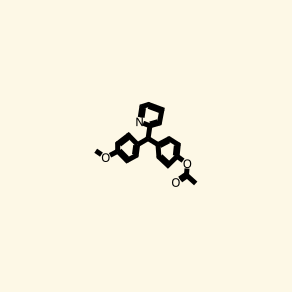 COc1ccc(C(c2ccc(OC(C)=O)cc2)c2ccccn2)cc1